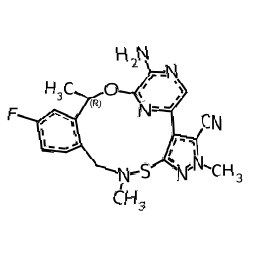 C[C@H]1Oc2nc(cnc2N)-c2c(nn(C)c2C#N)SN(C)Cc2ccc(F)cc21